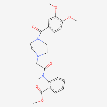 COC(=O)c1ccccc1N(C)C(=O)CN1CCN(C(=O)c2ccc(OC)c(OC)c2)CC1